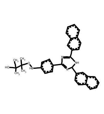 CC(C)(O)C(C)(C)OBc1ccc(C2=NC(c3ccc4ccccc4c3)NC(c3ccc4ccccc4c3)=N2)cc1